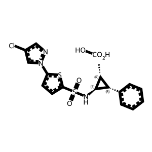 C[C@H]1[C@H](NS(=O)(=O)c2ccc(-n3cc(Cl)cn3)s2)[C@H]1c1ccccc1.O=C(O)O